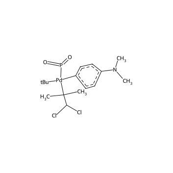 CN(C)c1cc[c]([Pd]([P](=O)=O)([C](C)(C)C)[C](C)(C)C(Cl)Cl)cc1